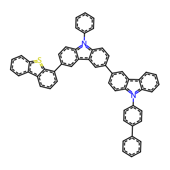 c1ccc(-c2ccc(-n3c4ccccc4c4cc(-c5ccc6c(c5)c5cc(-c7cccc8c7sc7ccccc78)ccc5n6-c5ccccc5)ccc43)cc2)cc1